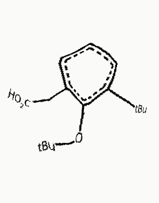 CC(C)(C)Oc1c(C(=O)O)cccc1C(C)(C)C